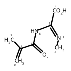 C=C(C)C(=O)NC(=NC)C(=O)O